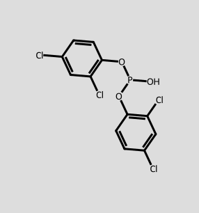 OP(Oc1ccc(Cl)cc1Cl)Oc1ccc(Cl)cc1Cl